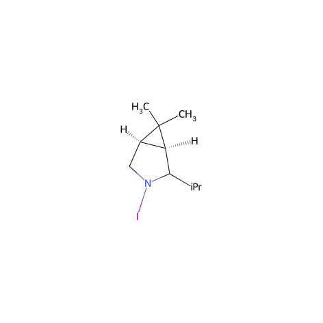 CC(C)C1[C@H]2[C@@H](CN1I)C2(C)C